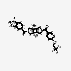 O=C(c1ccc(OCC(F)(F)F)nc1)N1C[C@@H]2[C@H](C1)[C@H]1CN(C(=O)c3ccc4c(c3)NNN4)C[C@@H]21